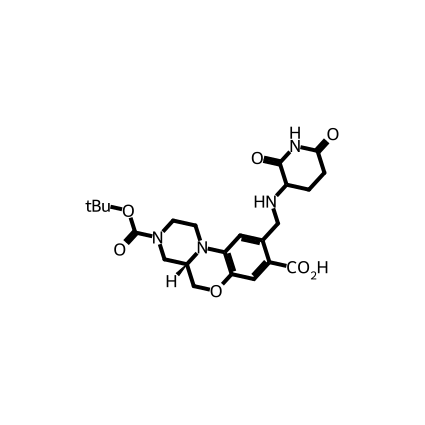 CC(C)(C)OC(=O)N1CCN2c3cc(CNC4CCC(=O)NC4=O)c(C(=O)O)cc3OC[C@@H]2C1